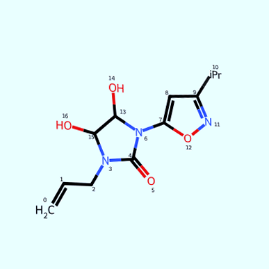 C=CCN1C(=O)N(c2cc(C(C)C)no2)C(O)C1O